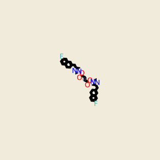 O=C(/C=C/C(=O)ON1C=NC(CC2=Cc3cc(F)ccc3CC2)C1)ON1C=NC(CC2=Cc3cc(F)ccc3CC2)C1